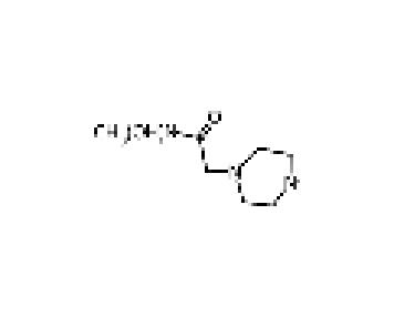 CN(O)C(=O)CN1CC[N]CC1